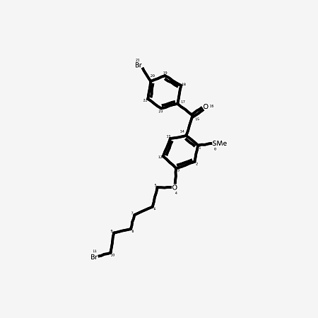 CSc1cc(OCCCCCCBr)ccc1C(=O)c1ccc(Br)cc1